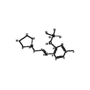 Cc1ccc(N=CCN2CCCC2)c(O[Si](C)(C)C)c1